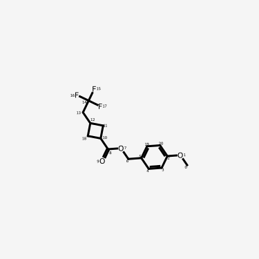 COc1ccc(COC(=O)C2CC(CC(F)(F)F)C2)cc1